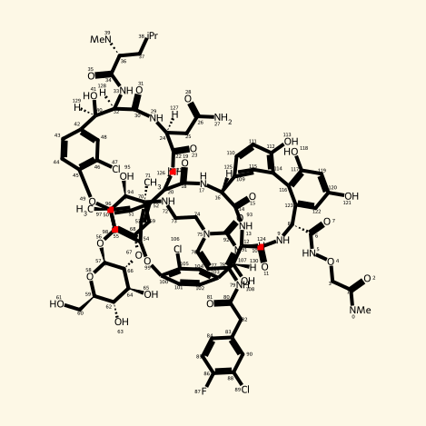 CNC(=O)CONC(=O)[C@@H]1NC(=O)[C@H]2NC(=O)[C@H](NC(=O)[C@@H]3NC(=O)[C@H](CC(N)=O)NC(=O)[C@H](NC(=O)[C@@H](CC(C)C)NC)[C@H](O)c4ccc(c(Cl)c4)Oc4cc3cc(c4O[C@@H]3O[C@H](CO)[C@@H](O)[C@H](O)[C@H]3O[C@H]3C[C@](C)(NCCn4ccc(NC(=O)Cc5ccc(F)c(Cl)c5)nc4=O)[C@H](O)[C@H](C)O3)Oc3ccc(cc3Cl)[C@H]2O)c2ccc(O)c(c2)-c2c(O)cc(O)cc21